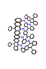 c1ccc(-c2c3ccccc3c(N(c3ccccc3)c3cc4c5c(c3)N(c3c6ccccc6c(-c6ccccc6)c6ccccc36)c3ccccc3B5c3cc5c(cc3N4c3ccccc3)N(c3c4ccccc4c(-c4ccccc4)c4ccccc34)c3cc(N(c4ccccc4)c4ccccc4)cc4c3B5c3ccccc3N4c3c4ccccc4c(-c4ccccc4)c4ccccc34)c3ccccc23)cc1